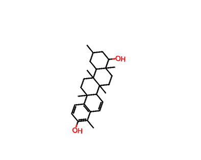 Cc1c(O)ccc2c1C=CC1C2(C)CCC2(C)C3CC(C)CC(O)C3(C)CCC12C